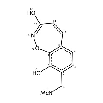 CNCc1ccc2c(c1O)ON=C(O)C=C2